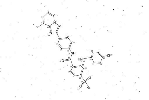 Cc1cccn2cc(-c3ccc(NC(=O)c4ccc(S(C)(=O)=O)cc4Nc4ccc(Cl)cc4)cc3)nc12